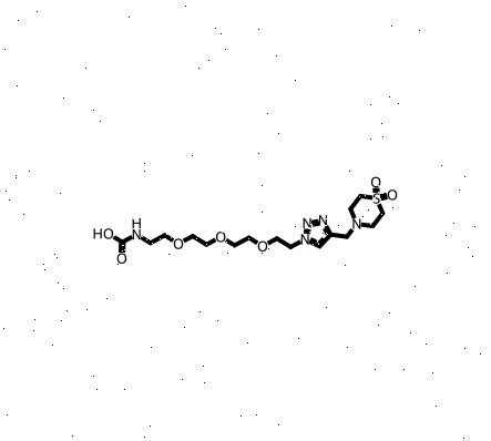 O=C(O)NCCOCCOCCOCCn1cc(CN2CCS(=O)(=O)CC2)nn1